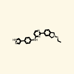 CCSN1Cc2ccc(-c3nccc(Nc4ccc(-c5cn[nH]c5)cc4)n3)cc2C1